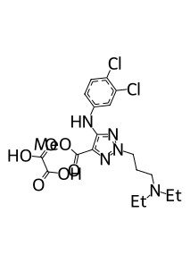 CCN(CC)CCCn1nc(Nc2ccc(Cl)c(Cl)c2)c(C(=O)OC)n1.O=C(O)C(=O)O